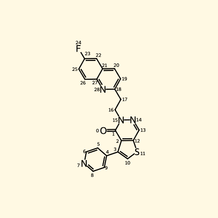 O=c1c2c(-c3ccncc3)csc2cnn1CCc1ccc2cc(F)ccc2n1